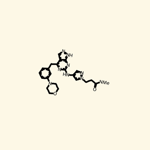 CNC(=O)CCn1cc(Nc2nc(Cc3cccc(N4CCOCC4)c3)c3cn[nH]c3n2)cn1